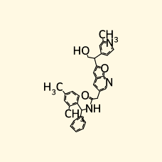 Cc1ccc(C(NC(=O)Cc2cnc3oc(C(CO)c4ccnc(C)c4)cc3c2)c2ccccc2)c(C)c1